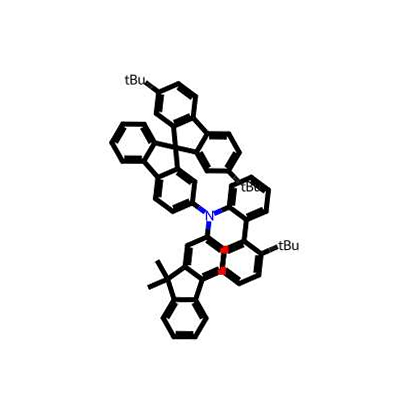 CC(C)(C)c1ccc2c(c1)C1(c3ccccc3-c3ccc(N(c4ccc5c(c4)C(C)(C)c4ccccc4-5)c4ccccc4-c4ccccc4C(C)(C)C)cc31)c1cc(C(C)(C)C)ccc1-2